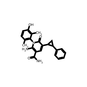 Cc1ccc(O)c(C)c1-n1c(N)c(C(N)=O)cc(C2CC2c2ccccc2)c1=O